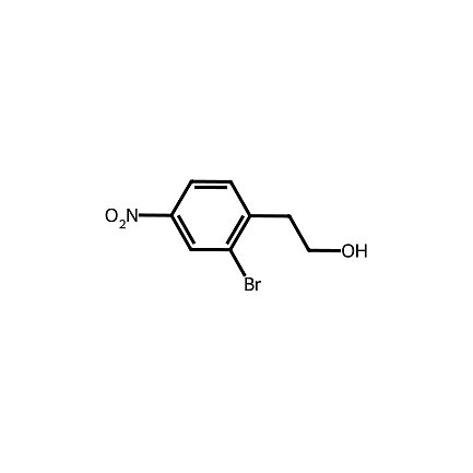 O=[N+]([O-])c1ccc(CCO)c(Br)c1